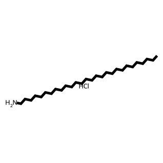 CCCCCCCCCCCCCCCCCCCCCCCCCCCCN.Cl